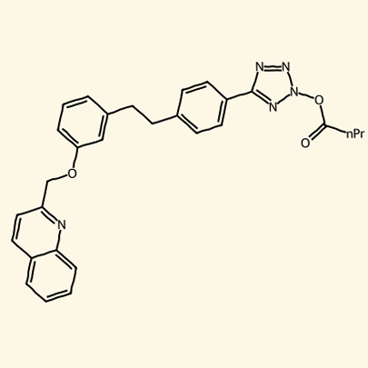 CCCC(=O)On1nnc(-c2ccc(CCc3cccc(OCc4ccc5ccccc5n4)c3)cc2)n1